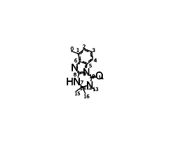 Cc1cccc2c1nc1n2C(=O)N(C)C(C)(C)N1